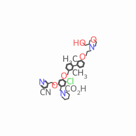 Cc1c(COc2cc(OCc3cncc(C#N)c3)c(CN3CCCC[C@H]3C(=O)O)cc2Cl)cccc1-c1cccc(OCCCN2CCOCC2CO)c1C